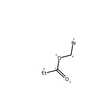 C[CH]C(=O)OCBr